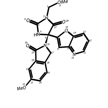 COCN1C(=O)N[C@](c2cc3ncccc3o2)(N2Cc3ccc(OC)cc3C2=O)C1=O